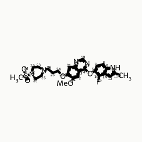 COc1cc2c(Oc3ccc4[nH]c(C)cc4c3F)ncnc2cc1OCCCN1CCN(S(C)(=O)=O)CC1